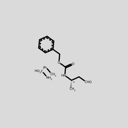 CC(C)C.C[C@@H](CC=O)NC(=O)OCc1ccccc1.NC(=O)O